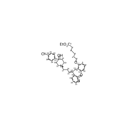 CCOC(=O)CCCCCOc1cccc2c1CC(=CCCN1CCC(O)(c3ccc(Cl)cc3)CC1)c1cccnc1O2